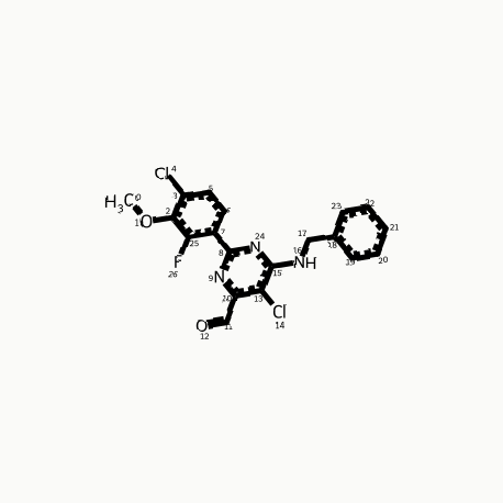 COc1c(Cl)ccc(-c2nc(C=O)c(Cl)c(NCc3ccccc3)n2)c1F